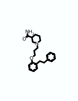 NC(=O)C1CCCN(CCCOc2ccccc2CCc2ccccc2)C1